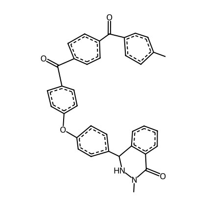 Cc1ccc(C(=O)c2ccc(C(=O)c3ccc(Oc4ccc(C5NN(C)C(=O)c6ccccc65)cc4)cc3)cc2)cc1